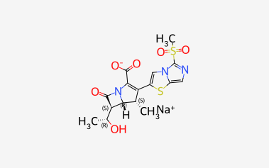 C[C@@H](O)[C@H]1C(=O)N2C(C(=O)[O-])=C(c3cn4c(S(C)(=O)=O)ncc4s3)[C@H](C)[C@H]12.[Na+]